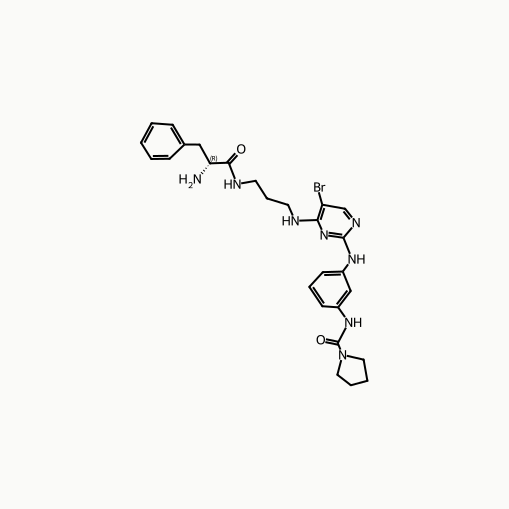 N[C@H](Cc1ccccc1)C(=O)NCCCNc1nc(Nc2cccc(NC(=O)N3CCCC3)c2)ncc1Br